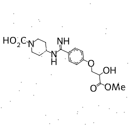 COC(=O)C(O)COc1ccc(C(=N)NC2CCN(C(=O)O)CC2)cc1